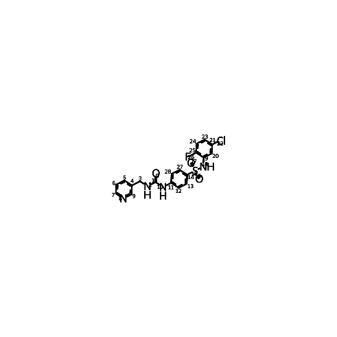 O=C(NCc1cccnc1)Nc1ccc(S(=O)(=O)Nc2cc(Cl)ccc2F)cc1